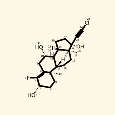 C[C@]12CC[C@H](O)C(F)=C1C[C@H](O)[C@@H]1[C@@H]2CC[C@@]2(C)[C@H]1CC[C@@]2(O)C#CCl